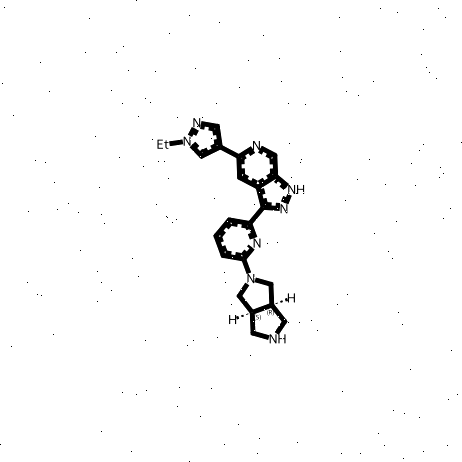 CCn1cc(-c2cc3c(-c4cccc(N5C[C@H]6CNC[C@H]6C5)n4)n[nH]c3cn2)cn1